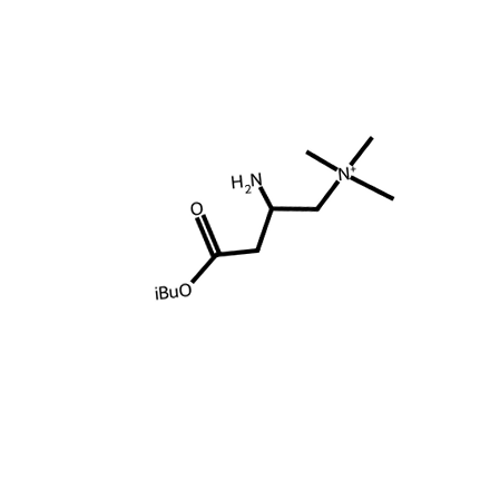 CC(C)COC(=O)CC(N)C[N+](C)(C)C